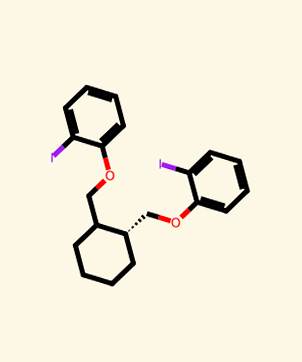 Ic1ccccc1OCC1CCCC[C@H]1COc1ccccc1I